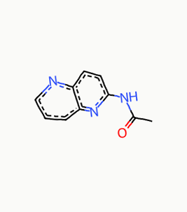 CC(=O)Nc1ccc2ncccc2n1